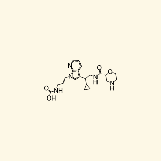 O=C(O)NCCCn1cc(C(CNC(=O)[C@H]2CNCCO2)C2CC2)c2cccnc21